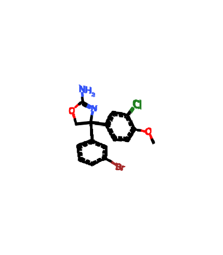 COc1ccc(C2(c3cccc(Br)c3)COC(N)=N2)cc1Cl